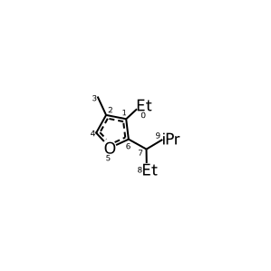 CCc1c(C)coc1C(CC)C(C)C